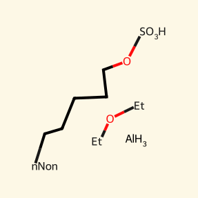 CCCCCCCCCCCCCCOS(=O)(=O)O.CCOCC.[AlH3]